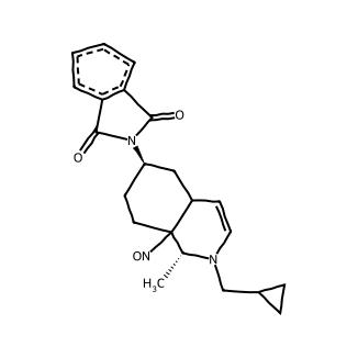 C[C@H]1N(CC2CC2)C=CC2C[C@H](N3C(=O)c4ccccc4C3=O)CCC21N=O